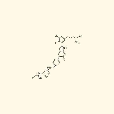 C=C[C@@H](CCNC(=N)CF)NCc1ccc(-n2cc3cc(-c4cc(CCCC(N)C5CC5)cc(Cl)c4F)[nH]c3nc2=O)cc1